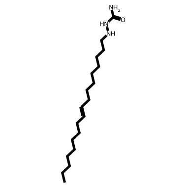 CCCCCCCCC=CCCCCCCCCNNC(N)=O